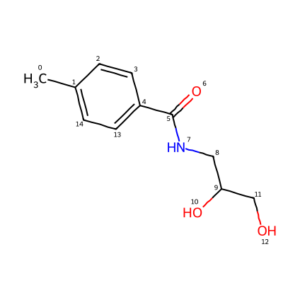 Cc1ccc(C(=O)NCC(O)CO)cc1